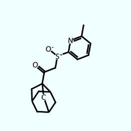 Cc1cccc([S+]([O-])CC(=O)C23CC4CC(CC2C4)C3)n1